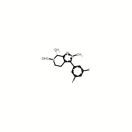 C[C@@H]1c2nn(C)c(-c3cc(F)cc(F)c3)c2CCN1C=O